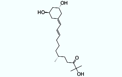 C[C@H](CCCC=CC=C1C[C@@H](O)C[C@H](O)C1)CCC(=O)C(C)(C)O